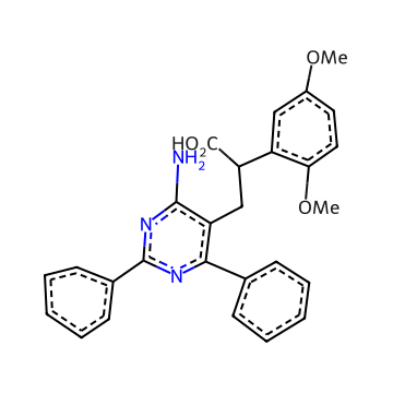 COc1ccc(OC)c(C(Cc2c(N)nc(-c3ccccc3)nc2-c2ccccc2)C(=O)O)c1